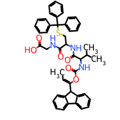 CC=C(OC(=O)NC(C(=O)NC(CSC(c1ccccc1)(c1ccccc1)c1ccccc1)C(=O)NCC(=O)O)C(C)C)C1c2ccccc2-c2ccccc21